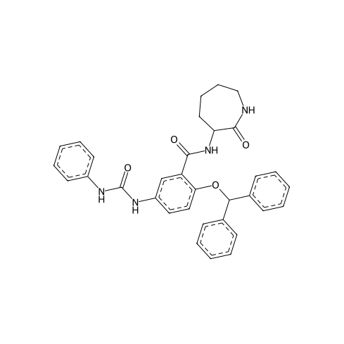 O=C(Nc1ccccc1)Nc1ccc(OC(c2ccccc2)c2ccccc2)c(C(=O)NC2CCCCNC2=O)c1